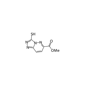 COC(=O)c1ccc2nnc(S)n2n1